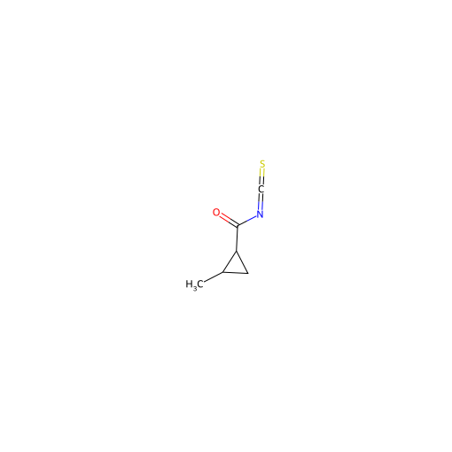 CC1CC1C(=O)N=C=S